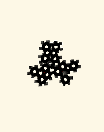 c1ccc(-c2ccc(N(c3ccc4c5ccccc5c5ccccc5c4c3)c3cc4c(cc3-c3ccc5sc6ccccc6c5c3)-c3ccccc3C43c4ccccc4-c4ccccc43)c(-c3ccccc3)c2)cc1